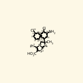 CC(C)C1=C(C(=O)O)SC2=N[C@@](C)(c3ccc(Cl)c(N)c3)[C@@H](c3ccc(Cl)cc3)N21